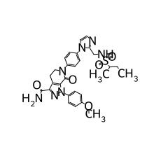 CCC(C)S(=O)(=O)NCc1nccn1-c1ccc(N2CCc3c(C(N)=O)nn(-c4ccc(OC)cc4)c3C2=O)cc1